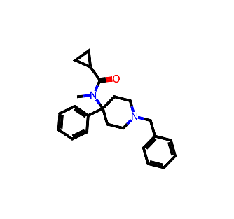 CN(C(=O)C1CC1)C1(c2ccccc2)CCN(Cc2ccccc2)CC1